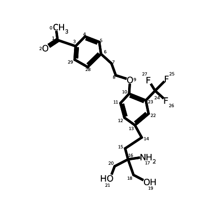 CC(=O)c1ccc(CCOc2ccc(CCC(N)(CO)CO)cc2C(F)(F)F)cc1